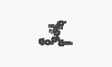 COc1cccc(-n2cc(-c3ccc(C(=O)NC4(C(=O)O)CC5CC(C)CC4C5)c(C(F)(F)F)n3)c3ccc(OC4CCN(c5ncccn5)CC4)cc32)n1